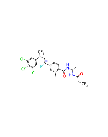 Cc1cc(/C(F)=C/C(c2cc(Cl)c(Cl)c(Cl)c2)C(F)(F)F)ccc1C(=O)NC(C)NC(=O)CC(F)(F)F